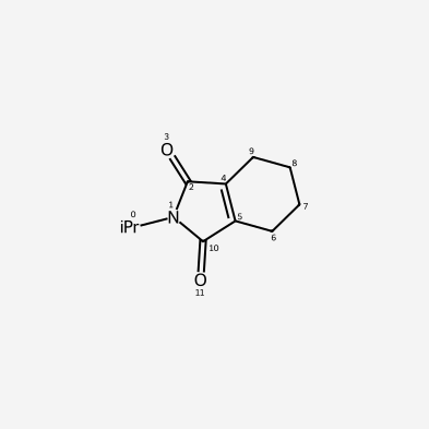 CC(C)N1C(=O)C2=C(CCCC2)C1=O